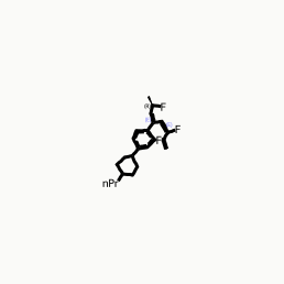 C=C(F)/C(F)=C\C(=C/[C@@H](C)F)c1ccc(C2CCC(CCC)CC2)cc1